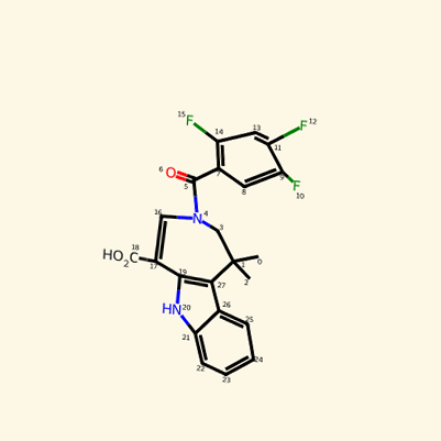 CC1(C)CN(C(=O)c2cc(F)c(F)cc2F)C=C(C(=O)O)c2[nH]c3ccccc3c21